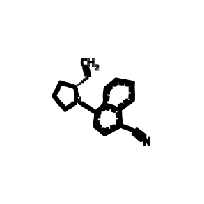 C=C[C@H]1CCCN1c1ccc(C#N)c2ccccc12